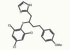 COc1ccc(CCC(Cc2ncc[nH]2)Sc2c(Cl)cc(Cl)cc2Cl)cc1